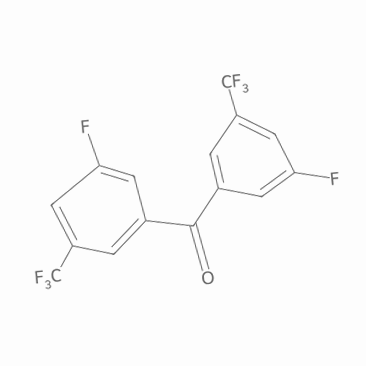 O=C(c1cc(F)cc(C(F)(F)F)c1)c1cc(F)cc(C(F)(F)F)c1